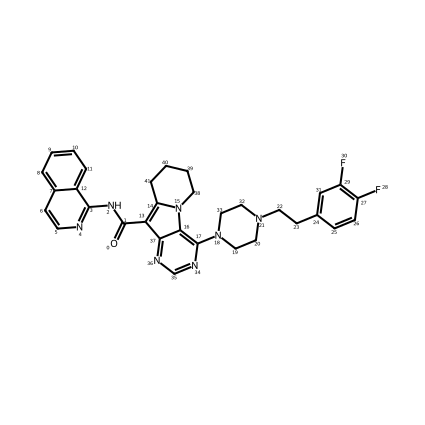 O=C(Nc1nccc2ccccc12)c1c2n(c3c(N4CCN(CCc5ccc(F)c(F)c5)CC4)ncnc13)CCCC2